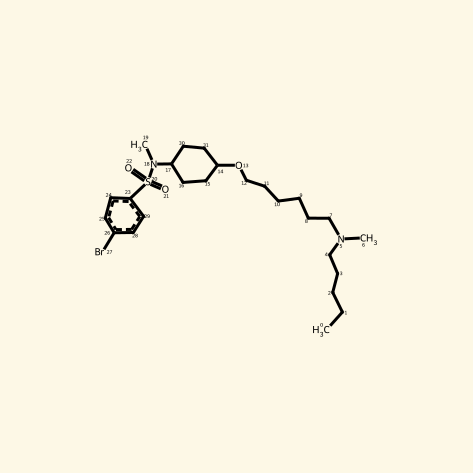 CCCCCN(C)CCCCCCOC1CCC(N(C)S(=O)(=O)c2ccc(Br)cc2)CC1